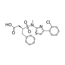 CN(c1nc(-c2ccccc2Cl)cs1)S(=O)(=O)[C@H](CC(=O)O)Cc1ccccc1